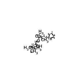 CC(C)(CCc1ccccc1)C(=O)OCC(O)C[N+](C)(C)C